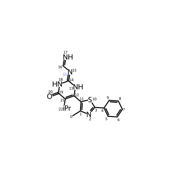 Cc1nc(-c2ccccc2)sc1-c1[nH]/c(=N/C=N)[nH]c(=O)c1C(C)C